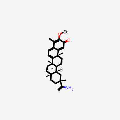 C=C(N)[C@]1(C)CC[C@]2(C)CC[C@]3(C)C4=CC=C5C(=CC(=O)C(OCC)=C5C)[C@]4(C)CC[C@@]3(C)[C@@H]2C1